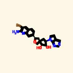 Nc1nc2cc([C@@H]3C[C@@]4(CO3)C[C@@H](n3ccc5cncnc53)[C@H](O)[C@@H]4O)ccc2cc1Br